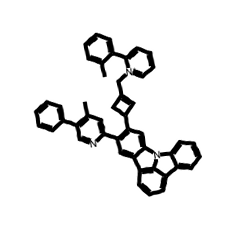 Cc1cc(-c2cc3c4cccc5c6ccccc6n(c3cc2C2C=C(C[n+]3ccccc3-c3ccccc3C)C2)c54)ncc1-c1ccccc1